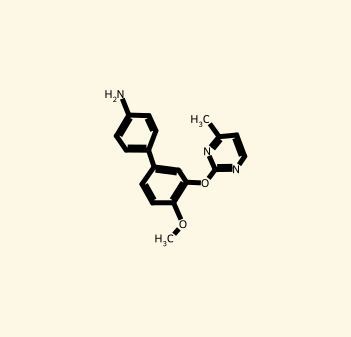 COc1ccc(-c2ccc(N)cc2)[c]c1Oc1nccc(C)n1